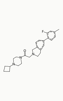 Cc1ccc(-c2ccc3c(c2)CCN(CC(=O)N2CCN(C4CCC4)CC2)C3)c(F)c1